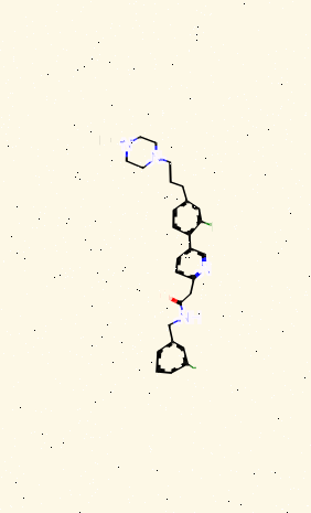 CN1CCN(CCCc2ccc(-c3ccc(CC(=O)NCc4cccc(F)c4)nc3)c(F)c2)CC1